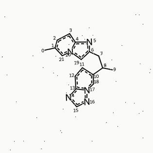 Cc1ccc2nc(CC(C)c3ccc4ncnn4c3)cn2c1